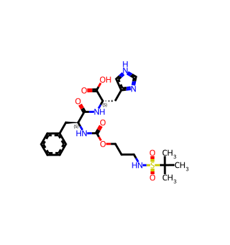 CC(C)(C)S(=O)(=O)NCCCOC(=O)N[C@@H](Cc1ccccc1)C(=O)N[C@@H](Cc1c[nH]cn1)C(=O)O